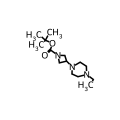 CCN1CCN(C2CN(C(=O)OC(C)(C)C)C2)CC1